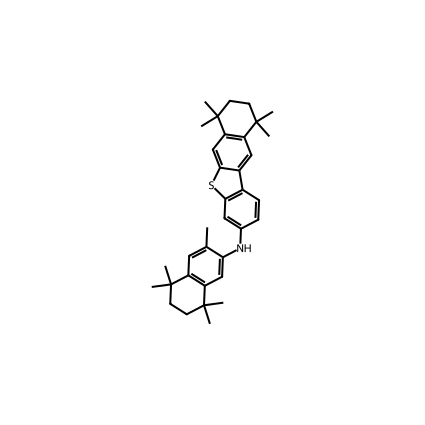 Cc1cc2c(cc1Nc1ccc3c(c1)sc1cc4c(cc13)C(C)(C)CCC4(C)C)C(C)(C)CCC2(C)C